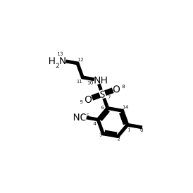 Cc1ccc(C#N)c(S(=O)(=O)NCCN)c1